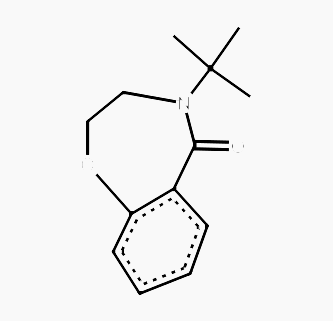 CC(C)(C)N1CCOc2ccccc2C1=O